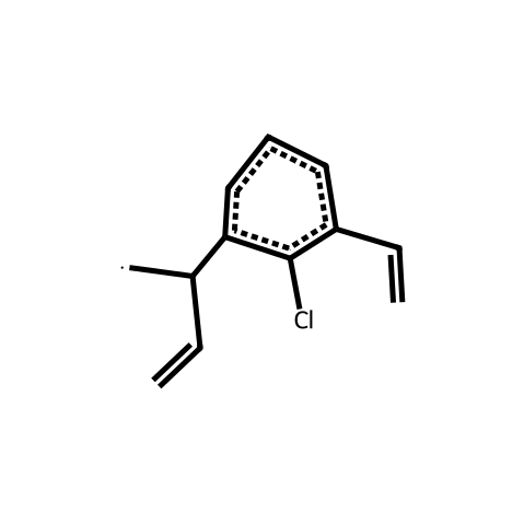 [CH2]C(C=C)c1cccc(C=C)c1Cl